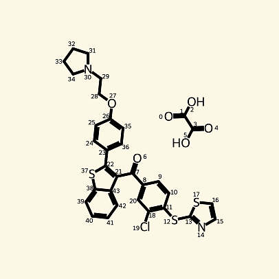 O=C(O)C(=O)O.O=C(c1ccc(Sc2nccs2)c(Cl)c1)c1c(-c2ccc(OCCN3CCCC3)cc2)sc2ccccc12